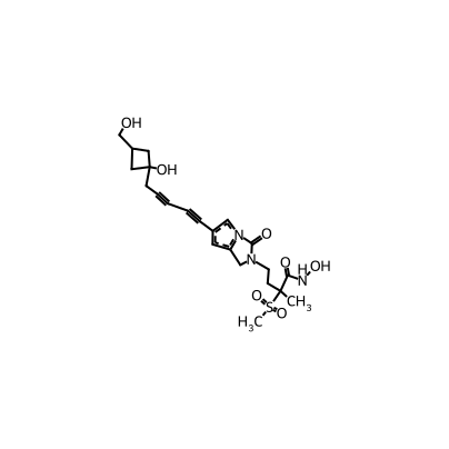 CC(CCN1Cc2cc(C#CC#CCC3(O)CC(CO)C3)cn2C1=O)(C(=O)NO)S(C)(=O)=O